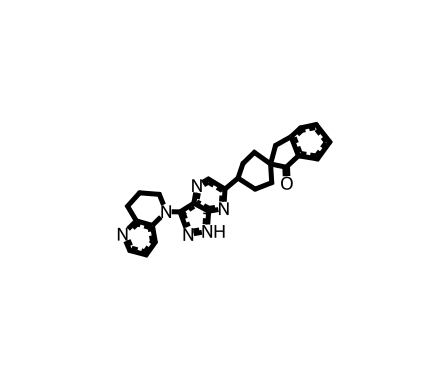 O=C1c2ccccc2CC12CCC(c1cnc3c(N4CCCc5ncccc54)n[nH]c3n1)CC2